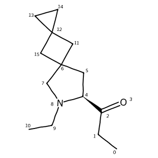 CCC(=O)[C@@H]1CC2(CN1CC)CC1(CC1)C2